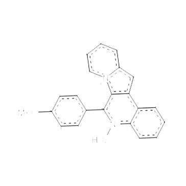 COc1ccc(-c2c3c(cc4ccccn43)c3ccccc3[n+]2C)cc1